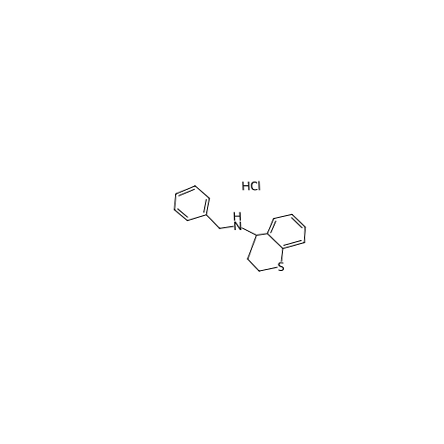 Cl.c1ccc(CNC2CCSc3ccccc32)cc1